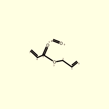 C=CCOC(=O)C=C.C=O